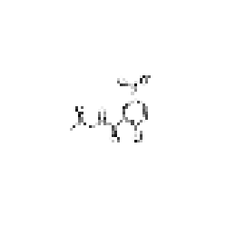 CC(=O)CNC(=O)c1cc([N+](=O)[O-])ccc1Cl